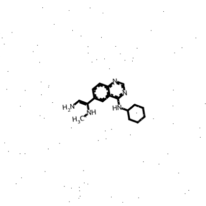 CN/C(=C\N)c1ccc2ncnc(NC3CCCCC3)c2c1